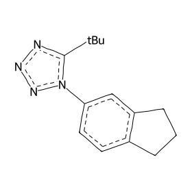 CC(C)(C)c1nnnn1-c1ccc2c(c1)CCC2